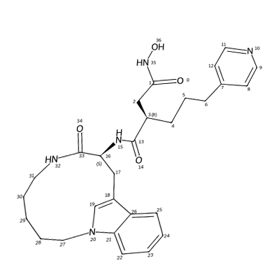 O=C(C[C@@H](CCCc1ccncc1)C(=O)N[C@H]1Cc2cn(c3ccccc23)CCCCCNC1=O)NO